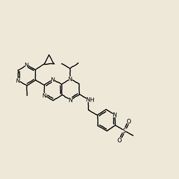 Cc1ncnc(C2CC2)c1-c1ncc2c(n1)N(C(C)C)CC(NCc1ccc(S(C)(=O)=O)nc1)=N2